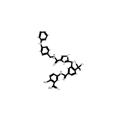 O=C(Nc1ccc(O)c(C(=O)O)c1)c1ccc(C(F)(F)F)c(Cc2nc(C(=O)NCc3ccc(Oc4ccccc4)cc3)cs2)c1